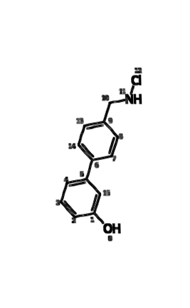 Oc1cccc(-c2ccc(CNCl)cc2)c1